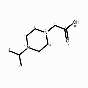 CC(C)N1CCN(CC(=O)O)CC1